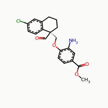 COC(=O)c1ccc(OC[C@@]2(C=O)CCCc3cc(Cl)ccc32)c(N)c1